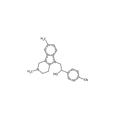 Cc1ccc2c(c1)c1c(n2CC(O)c2ccc(C#N)cc2)CCN(C)C1